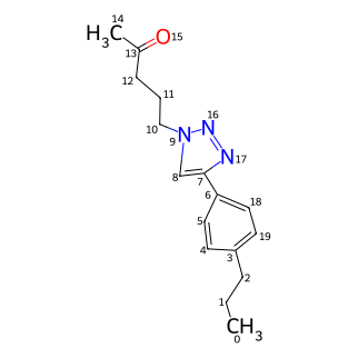 CCCc1ccc(-c2cn(CCCC(C)=O)nn2)cc1